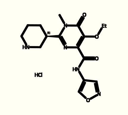 CCOc1c(C(=O)Nc2cnoc2)nc([C@@H]2CCCNC2)n(C)c1=O.Cl